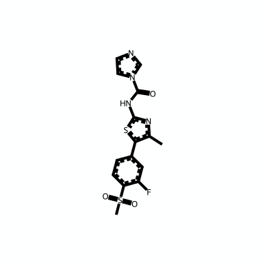 Cc1nc(NC(=O)n2ccnc2)sc1-c1ccc(S(C)(=O)=O)c(F)c1